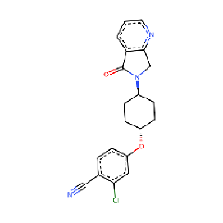 N#Cc1ccc(O[C@H]2CC[C@H](N3Cc4ncccc4C3=O)CC2)cc1Cl